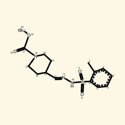 Cc1ccccc1S(=O)(=O)N/N=C/C1CCN(C(=O)OC(C)(C)C)CC1